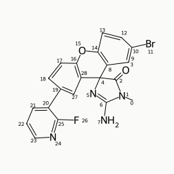 CN1C(=O)C2(N=C1N)c1cc(Br)ccc1Oc1ccc(-c3cccnc3F)cc12